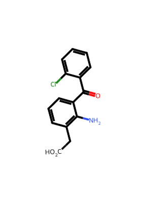 Nc1c(CC(=O)O)cccc1C(=O)c1ccccc1Cl